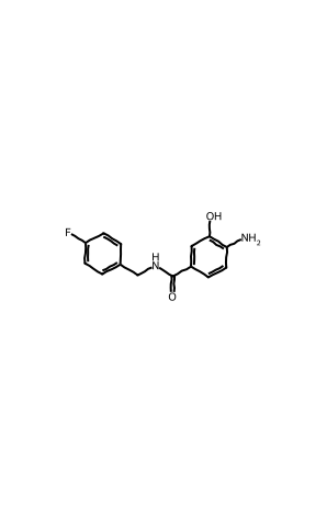 Nc1ccc(C(=O)NCc2ccc(F)cc2)cc1O